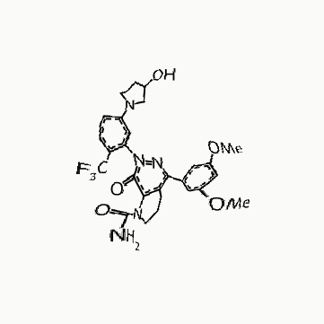 COc1cc(OC)cc(-c2nn(-c3cc(N4CCC(O)C4)ccc3C(F)(F)F)c(=O)c3c2CCN3C(N)=O)c1